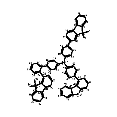 CC1(C)c2ccccc2-c2ccc(-c3ccc(N(c4ccc(-c5ccccc5-c5cccc6c5C(C)(C)c5ccccc5-6)cc4)c4ccc(-c5cccc6sc7ccccc7c56)cc4)cc3)cc21